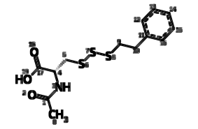 CC(=O)N[C@@H](CSSSCCc1ccccc1)C(=O)O